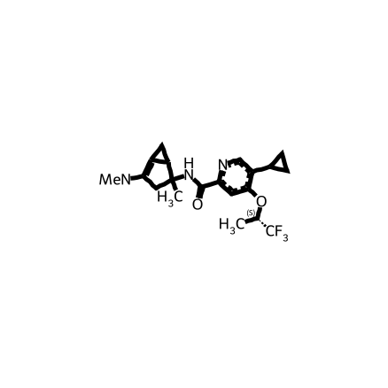 CNC1=C2CC2C(C)(NC(=O)c2cc(O[C@@H](C)C(F)(F)F)c(C3CC3)cn2)C1